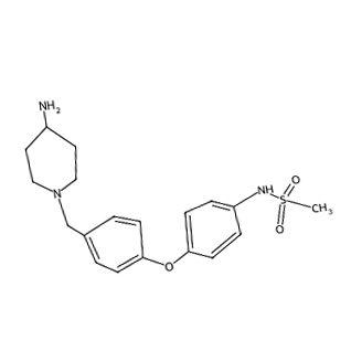 CS(=O)(=O)Nc1ccc(Oc2ccc(CN3CCC(N)CC3)cc2)cc1